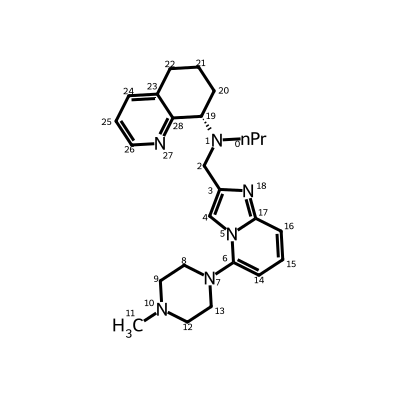 CCCN(Cc1cn2c(N3CCN(C)CC3)cccc2n1)[C@H]1CCCc2cccnc21